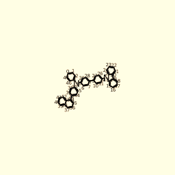 c1ccc(N(c2ccc(-c3ccc(-n4c5ccccc5c5ccccc54)cc3)cc2)c2ccc(-c3cccc4ccccc34)cc2)cc1